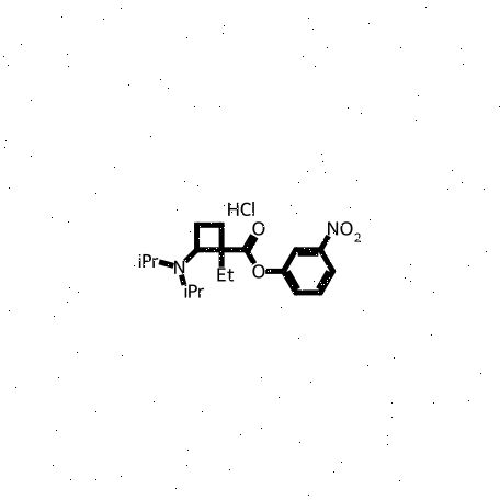 CCC1(C(=O)Oc2cccc([N+](=O)[O-])c2)CCC1N(C(C)C)C(C)C.Cl